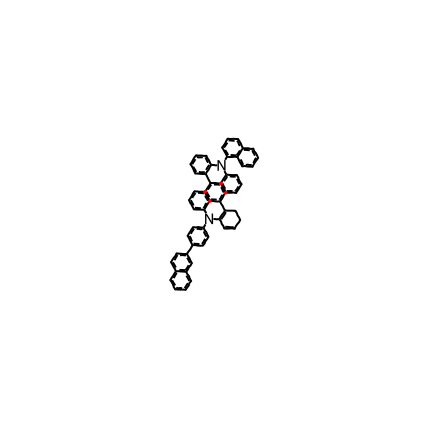 C1=CC(N(c2ccccc2)c2ccc(-c3ccc4ccccc4c3)cc2)=C(c2ccc(-c3ccccc3N(c3ccccc3)c3cccc4ccccc34)cc2)CC1